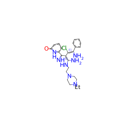 CCN1CCN(CCN/C(N)=C(C(=N)c2cccc(=O)[nH]2)/C(Cl)=C(\N)c2ccccc2)CC1